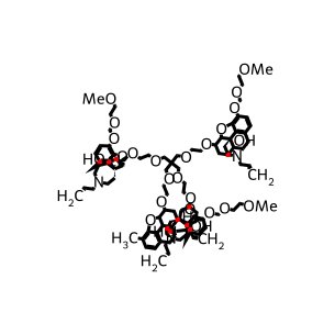 C=CCN1CC[C@]23c4c5ccc(OCOCCOC)c4O[C@H]2C(OCCOCC(COCCOC2CC[C@@]4(O)C6Cc7ccc(C)c8c7[C@@]4(CCN6CC=C)C2O8)(COCCOC2CC[C@@]4(O)C6Cc7ccc(OCOCCOC)c8c7[C@@]4(CCN6CC=C)C2O8)COCCOC2CC[C@@]4(O)C6Cc7ccc(OCOCCOC)c8c7[C@@]4(CCN(CC=C)C6)[C@H]2O8)CC[C@@]3(O)C(C5)C1